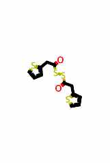 O=C(Cc1cccs1)SSC(=O)Cc1cccs1